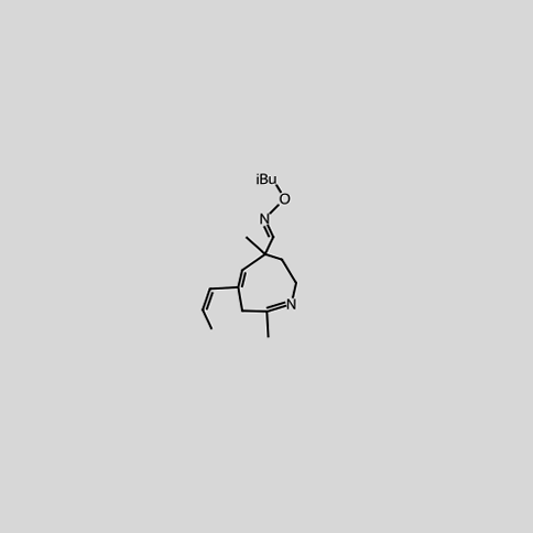 C/C=C\C1=C\C(C)(/C=N/OC(C)CC)CC/N=C(/C)C1